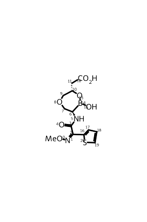 CO/N=C(\C(=O)N[C@H]1COC[C@H](CC(=O)O)OB1O)c1cccs1